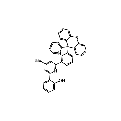 CC(C)(C)c1cc(-c2cccc(C3(c4ccccn4)c4ccccc4Sc4ccccc43)c2)nc(-c2ccccc2O)c1